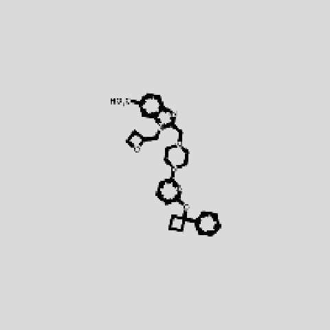 O=C(O)c1ccc2nc(CN3CCN(c4cccc(OC5(c6ccccc6)CCC5)n4)CC3)n(CC3CCO3)c2c1